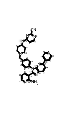 N#Cc1nccc(NC2CCN(Cc3ccc(-n4c(-c5cccnc5N)nc5ccc(-c6ccncc6)nc54)cc3)CC2)n1